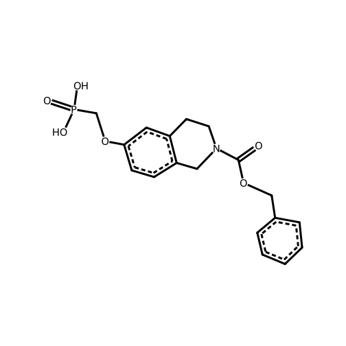 O=C(OCc1ccccc1)N1CCc2cc(OCP(=O)(O)O)ccc2C1